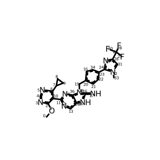 COc1ncnc(C2CC2)c1-c1ncc2[nH]c(=N)n(Cc3ccc(-c4nc(C(F)(F)F)cn4C)cc3)c2n1